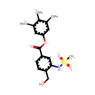 COc1cc(OC(=O)c2ccc(CO)c(NS(C)(=O)=O)c2)cc(OC)c1OC